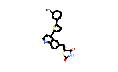 CC(C)c1cccc(-c2ccc(-c3ccnc4ccc(/C=C5\SC(=O)NC5=O)cc34)s2)c1